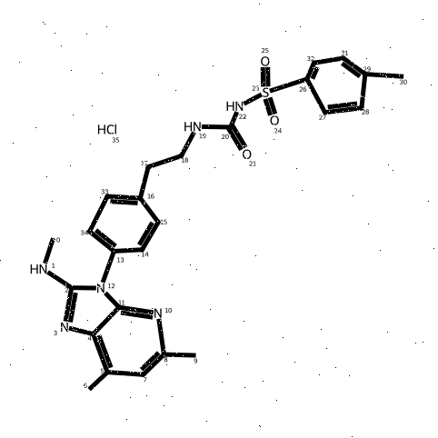 CNc1nc2c(C)cc(C)nc2n1-c1ccc(CCNC(=O)NS(=O)(=O)c2ccc(C)cc2)cc1.Cl